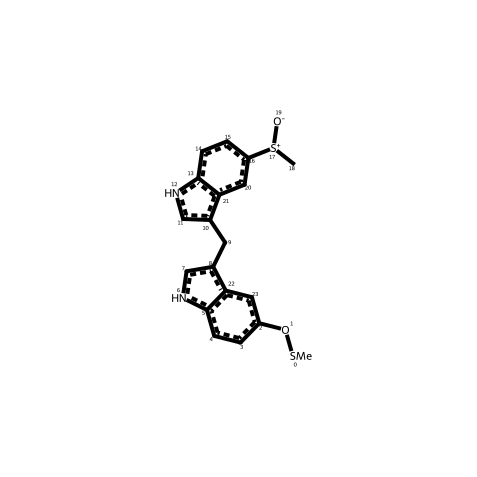 CSOc1ccc2[nH]cc(Cc3c[nH]c4ccc([S+](C)[O-])cc34)c2c1